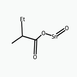 CCC(C)C(=O)[O][Sn]=[O]